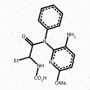 CCC(NC(=O)O)C(=O)N(c1ccccc1)c1nc(OC)ccc1N